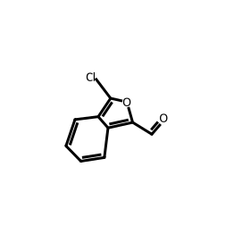 O=Cc1oc(Cl)c2ccccc12